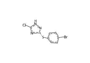 Clc1nc(Sc2ccc(Br)cc2)n[nH]1